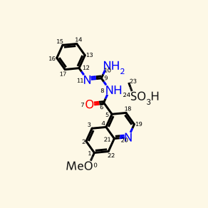 COc1ccc2c(C(=O)NC(N)=Nc3ccccc3)ccnc2c1.CS(=O)(=O)O